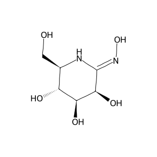 OC[C@H]1N/C(=N\O)[C@@H](O)[C@@H](O)[C@@H]1O